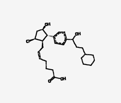 O=C(O)CCC/C=C\C[C@@H]1[C@@H](c2ccc(C(O)CCC3CCCCC3)cc2)[C@H](O)C[C@@H]1Cl